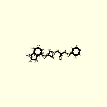 O=C(COc1ccccc1)CN1CC(Oc2cccc3c2CCN3)C1